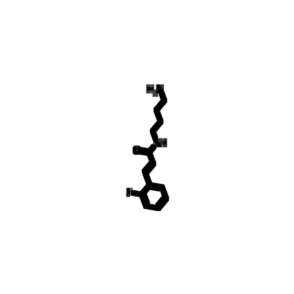 NCCCCNC(=O)/C=C/c1ccccc1F